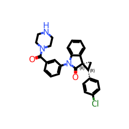 O=C(c1cccc(N2C(=O)[C@@]3(C[C@@H]3c3ccc(Cl)cc3)c3ccccc32)c1)N1CCNCC1